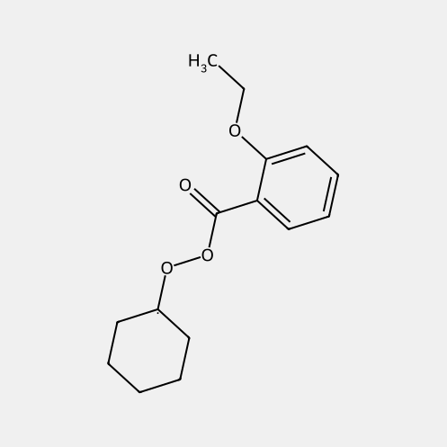 CCOc1ccccc1C(=O)OO[C]1CCCCC1